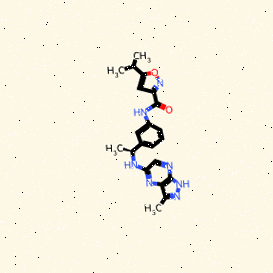 Cc1n[nH]c2ncc(N[C@@H](C)c3cccc(NC(=O)c4cc(C(C)C)on4)c3)nc12